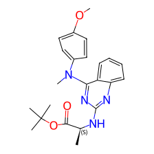 COc1ccc(N(C)c2nc(N[C@@H](C)C(=O)OC(C)(C)C)nc3ccccc23)cc1